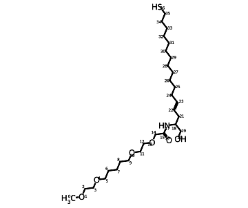 COCCOCCCCCOCCOCC(=O)NC(CO)C/C=C/CCCCCCCCCCCCS